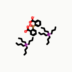 CCCC[P+](CCCC)(CCCC)CCCC.CCCC[P+](CCCC)(CCCC)CCCC.O=C([O-])c1ccccc1[S+]([O-])c1ccccc1C(=O)[O-]